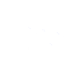 C[n+]1ccc(-n2ccc3ccccc32)nc1N.[I-]